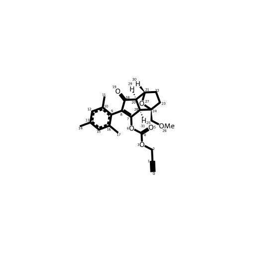 C#CCOC(=O)OC1=C(c2c(C)cc(C)cc2C)C(=O)[C@H]2[C@@H]3CC[C@@](COC)(O3)[C@@H]12